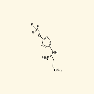 CCCC(=N)Nc1ccc(OCC(F)(F)F)cc1